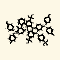 Cc1ccc(N(c2ccc(C)cc2)c2ccc3c(c2)N(c2ccc(C(C)(C)C)cc2)c2cc(C(C)(C)C)cc4c2B3c2cc(C(C)(C)C)ccc2N4c2ccc(N(c3ccc(C)cc3)c3ccc(C)cc3)c3oc4ccccc4c23)cc1